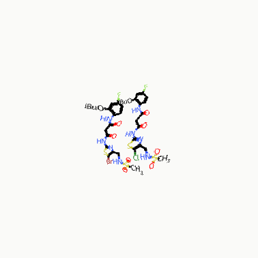 CC(C)COc1cc(F)ccc1NC(=O)CC(=O)Nc1nc(CNS(C)(=O)=O)c(Br)s1.CC(C)COc1cc(F)ccc1NC(=O)CC(=O)Nc1nc(CNS(C)(=O)=O)c(Cl)s1